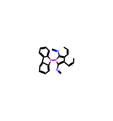 C=Nc1c(/C=C\C)c(/C=C\C)c(N=C)p1-p1c2ccccc2c2ccccc21